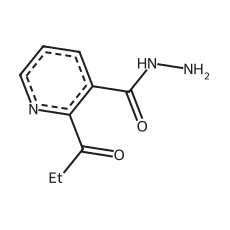 CCC(=O)c1ncccc1C(=O)NN